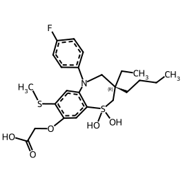 CCCC[C@]1(CC)CN(c2ccc(F)cc2)c2cc(SC)c(OCC(=O)O)cc2S(O)(O)C1